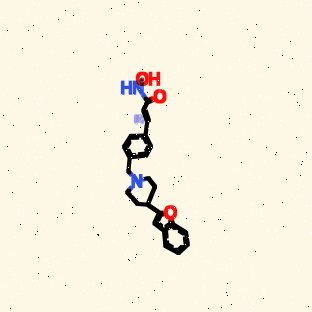 O=C(/C=C/c1ccc(CN2CCC(c3cc4ccccc4o3)CC2)cc1)NO